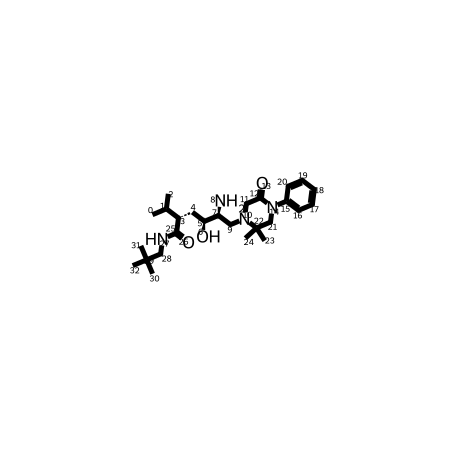 CC(C)[C@H](C[C@H](O)[C@@H](N)CN1CC(=O)N(c2ccccc2)CC1(C)C)C(=O)NCC(C)(C)C